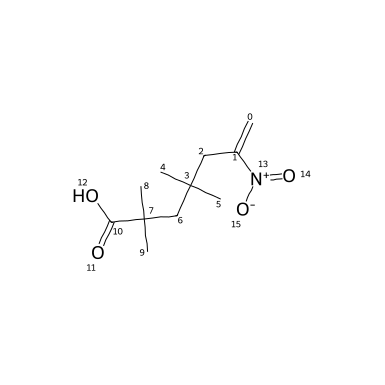 C=C(CC(C)(C)CC(C)(C)C(=O)O)[N+](=O)[O-]